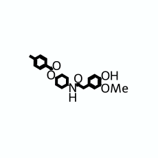 COc1cc(CC(=O)N[C@H]2CC[C@H](OC(=O)c3ccc(C)cc3)CC2)ccc1O